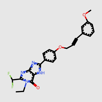 CCn1c(C(F)F)nc2nc(-c3ccc(OCC#Cc4cccc(OC)c4)cc3)[nH]c2c1=O